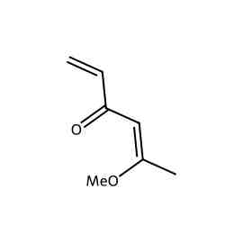 C=CC(=O)/C=C(/C)OC